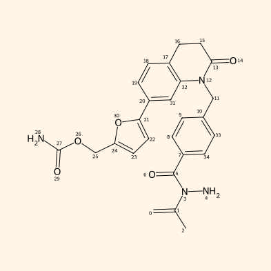 C=C(C)N(N)C(=O)c1ccc(CN2C(=O)CCc3ccc(-c4ccc(COC(N)=O)o4)cc32)cc1